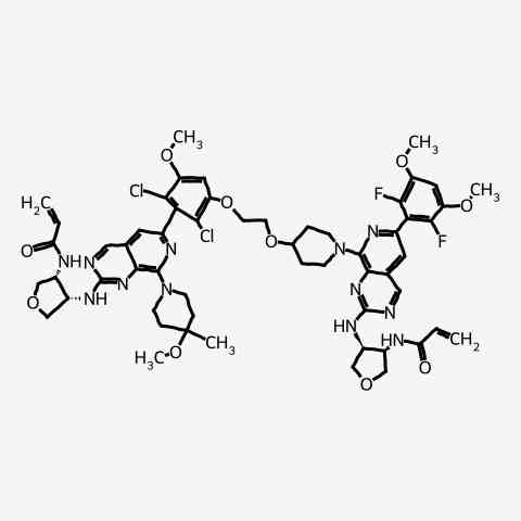 C=CC(=O)N[C@H]1COC[C@H]1Nc1ncc2cc(-c3c(F)c(OC)cc(OC)c3F)nc(N3CCC(OCCOc4cc(OC)c(Cl)c(-c5cc6cnc(N[C@@H]7COC[C@@H]7NC(=O)C=C)nc6c(N6CCC(C)(OC)CC6)n5)c4Cl)CC3)c2n1